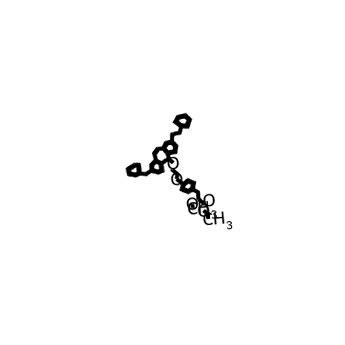 CCOC(=O)C(Cc1ccc(OCCOC2c3ccc(CCc4ccccc4)cc3C=Cc3cc(Cc4ccccc4)ccc32)cc1)OC